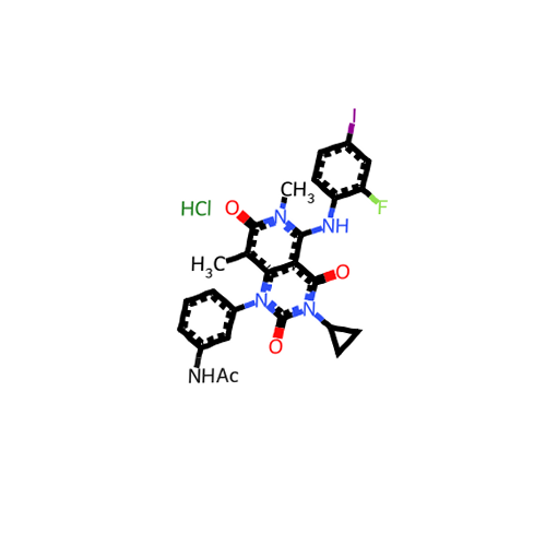 CC(=O)Nc1cccc(-n2c(=O)n(C3CC3)c(=O)c3c(Nc4ccc(I)cc4F)n(C)c(=O)c(C)c32)c1.Cl